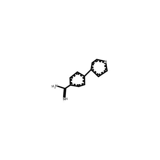 N=C(N)c1ccc(-c2ccncc2)cc1